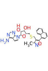 Cc1noc(-c2cccc3ccccc23)c1CSC[C@H]1O[C@@H](n2ccc3c(N)ncnc32)[C@H](O)[C@@H]1O